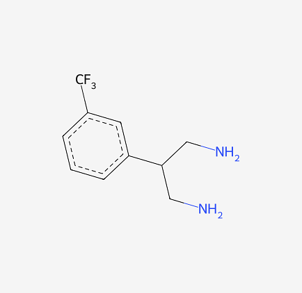 NCC(CN)c1cccc(C(F)(F)F)c1